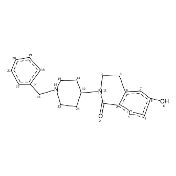 O=C1c2ccc(O)cc2CCN1C1CCN(Cc2ccccc2)CC1